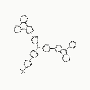 C[Si](C)(C)c1ccc(-c2ccc(N(c3ccc(-c4ccc5c6ccccc6c6ccccc6c5c4)cc3)c3ccc(-c4ccc5c(c4)c4ccccc4n5-c4ccccc4)cc3)cc2)cc1